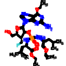 CCOC[C@H](CC(C)C)NP(=O)(N[C@@H](CC(C)C)C(=O)OCC)OC1[C@H](n2cnc3c(OCC)nc(N)nc32)O[C@H](CO)[C@H]1CF